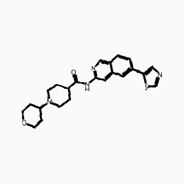 O=C(Nc1cc2cc(-c3cncs3)ccc2cn1)C1CCN(C2CCOCC2)CC1